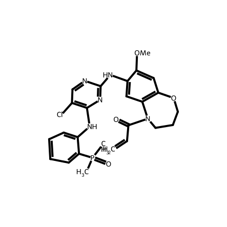 C=CC(=O)N1CCCOc2cc(OC)c(Nc3ncc(Cl)c(Nc4ccccc4P(C)(C)=O)n3)cc21